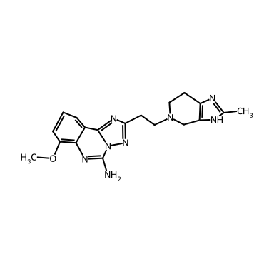 COc1cccc2c1nc(N)n1nc(CCN3CCc4nc(C)[nH]c4C3)nc21